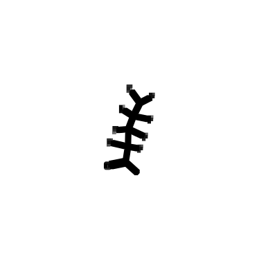 CC(=O)C(F)(F)C(F)(F)C(F)(F)C(F)F